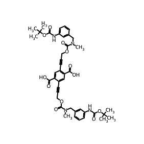 CN(Cc1cccc(NC(=O)OC(C)(C)C)c1)C(=O)OCC#Cc1cc(C(=O)O)c(C#CCOC(=O)N(C)Cc2cccc(NC(=O)OC(C)(C)C)c2)cc1C(=O)O